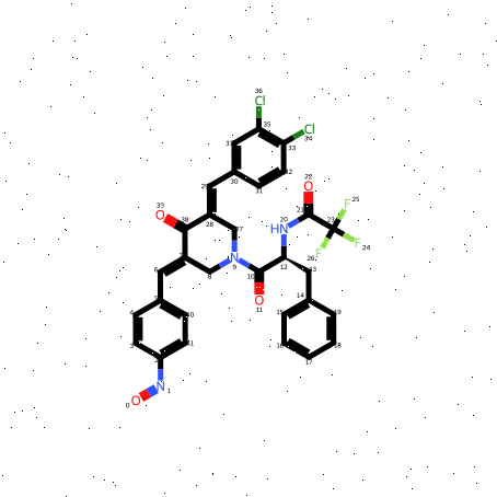 O=Nc1ccc(/C=C2\CN(C(=O)[C@H](Cc3ccccc3)NC(=O)C(F)(F)F)C/C(=C\c3ccc(Cl)c(Cl)c3)C2=O)cc1